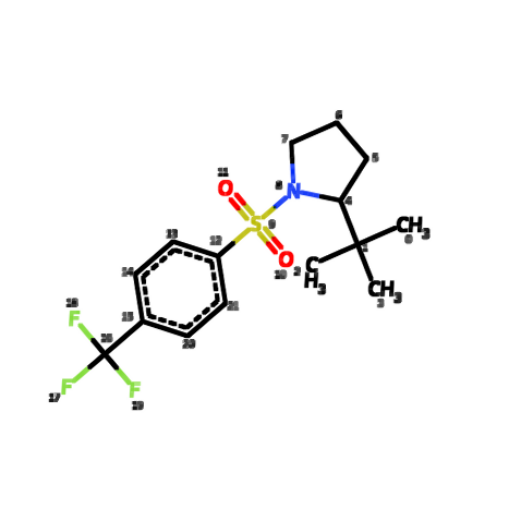 CC(C)(C)C1CCCN1S(=O)(=O)c1ccc(C(F)(F)F)cc1